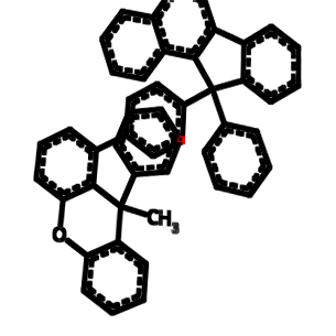 CC1(c2ccccc2)c2ccccc2Oc2cccc(-c3ccc(C4(c5ccccc5)c5ccccc5-c5ccc6ccccc6c54)cc3)c21